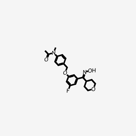 CC(=O)N(C)c1ccc(COc2cc(F)cc(C(=NO)C3CCOCC3)c2)cc1